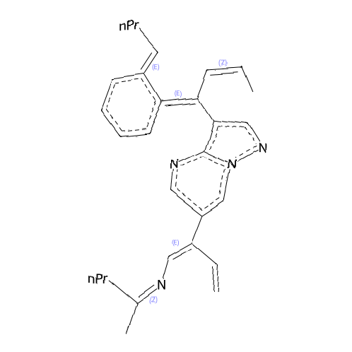 C=C/C(=C\N=C(\C)CCC)c1cnc2c(C(/C=C\C)=c3\cccc\c3=C/CCC)cnn2c1